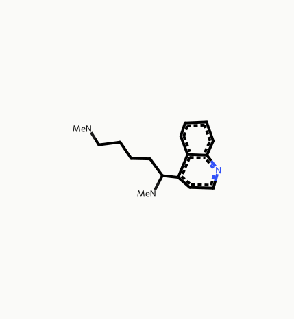 CNCCCCC(NC)c1ccnc2ccccc12